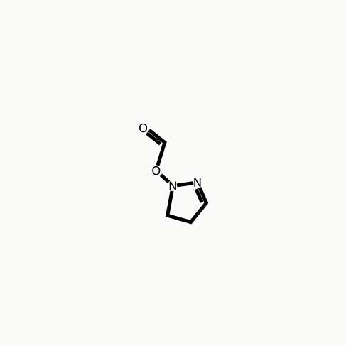 O=CON1CCC=N1